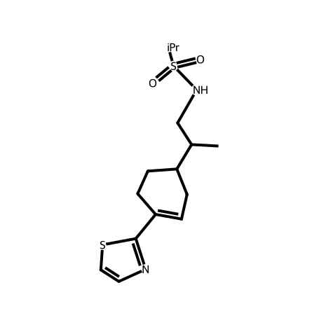 CC(CNS(=O)(=O)C(C)C)C1CC=C(c2nccs2)CC1